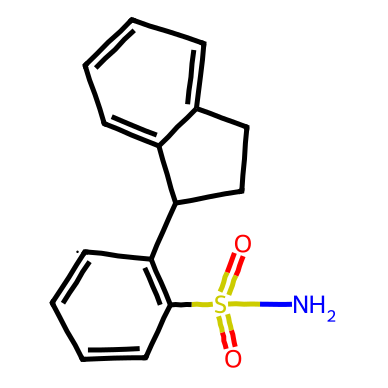 NS(=O)(=O)c1ccc[c]c1C1CCc2ccccc21